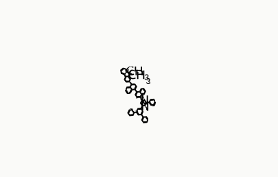 CC1(C)c2ccccc2-c2ccc(-c3ccc(-c4ccc(-c5cc(-c6cc(-c7ccccc7)cc(-c7ccccc7)c6)nc(-c6ccccc6)n5)c5ccccc45)c4ccccc34)cc21